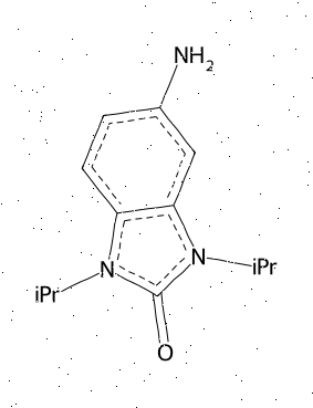 CC(C)n1c(=O)n(C(C)C)c2cc(N)ccc21